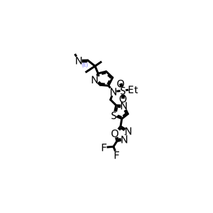 CCS(=O)(=O)N(Cc1ncc(-c2nnc(C(F)F)o2)s1)c1ccc(C(C)(C)/C=N/C)nc1